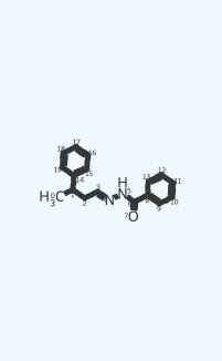 CC(CC=NNC(=O)c1ccccc1)c1ccccc1